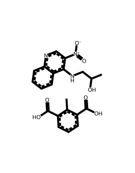 CC(O)CNc1c([N+](=O)[O-])cnc2ccccc12.Cc1c(C(=O)O)cccc1C(=O)O